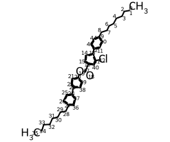 CCCCCCCCCc1ccc(-c2ccc(C(=O)Oc3ccc(-c4ccc(CCCCCCCC)cc4)cc3)cc2Cl)cc1